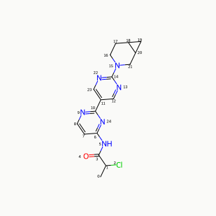 CC(Cl)C(=O)Nc1ccnc(-c2cnc(N3CCC4CC4C3)nc2)n1